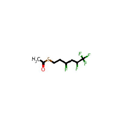 CC(=O)SCCC(F)CC(F)C(F)(F)F